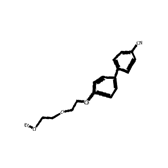 CCOCCOCCOc1ccc(-c2ccc(C#N)cc2)cc1